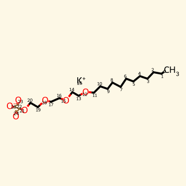 CCCCCCCCCCCCOCCOCCOCCOS(=O)(=O)[O-].[K+]